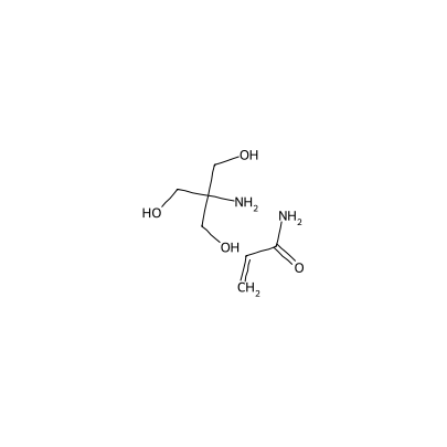 C=CC(N)=O.NC(CO)(CO)CO